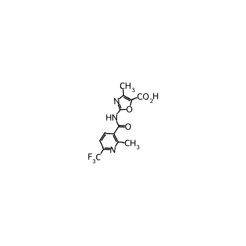 Cc1nc(C(F)(F)F)ccc1C(=O)Nc1nc(C)c(C(=O)O)o1